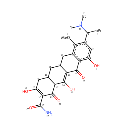 CCCC(c1cc(O)c2c(c1OC)CC1CC3CC(O)=C(C(N)=O)C(=O)C3C(O)=C1C2=O)N(C)CC